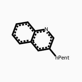 [CH2]CCCCc1cnc2ccccc2c1